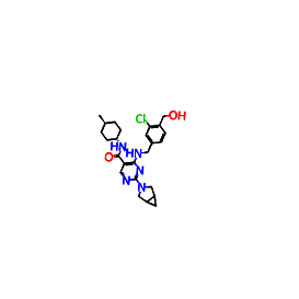 C[C@H]1CC[C@H](NC(=O)c2cnc(N3CC4CC4C3)nc2NCc2ccc(CO)c(Cl)c2)CC1